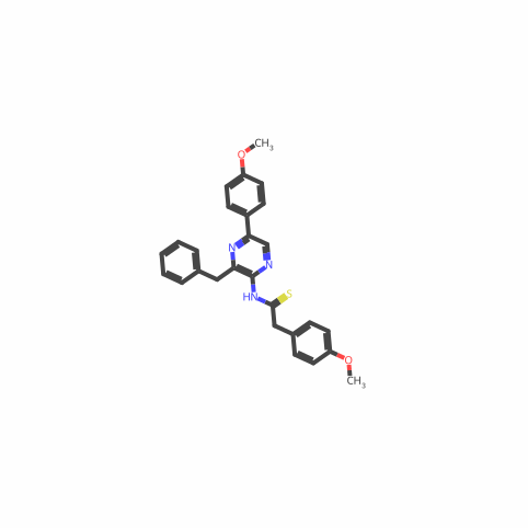 COc1ccc(CC(=S)Nc2ncc(-c3ccc(OC)cc3)nc2Cc2ccccc2)cc1